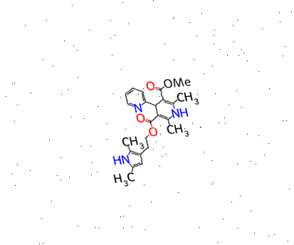 COC(=O)C1=C(C)NC(C)=C(C(=O)OCCc2cc(C)[nH]c2C)C1c1ccccn1